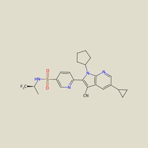 C[C@H](NS(=O)(=O)c1ccc(-c2c(C#N)c3cc(C4CC4)cnc3n2C2CCCC2)nc1)C(F)(F)F